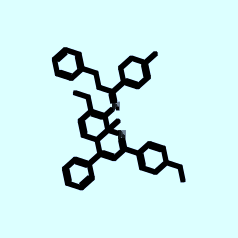 CCC1=C(/N=C(\CCc2ccccc2)C2=CC=C(C)CC2)C2(C)N=C(C3=CCC(CC)C=C3)C=C(c3ccccc3)C2C=C1